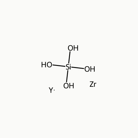 O[Si](O)(O)O.[Y].[Zr]